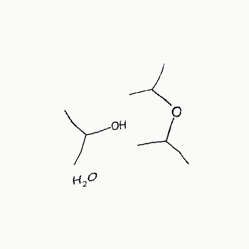 CC(C)O.CC(C)OC(C)C.O